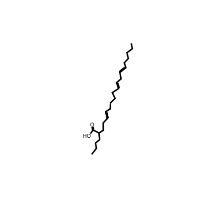 CCCCCC=CCC=CCCCCC=CCCC(CCCC)C(=O)O